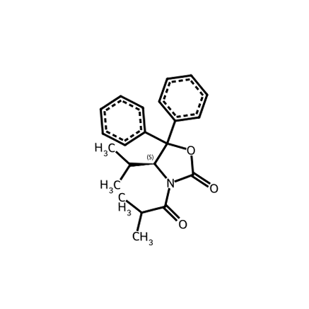 CC(C)C(=O)N1C(=O)OC(c2ccccc2)(c2ccccc2)[C@@H]1C(C)C